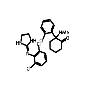 CNC1(c2ccccc2Cl)CCCCC1=O.Clc1cccc(Cl)c1N=C1NCCN1